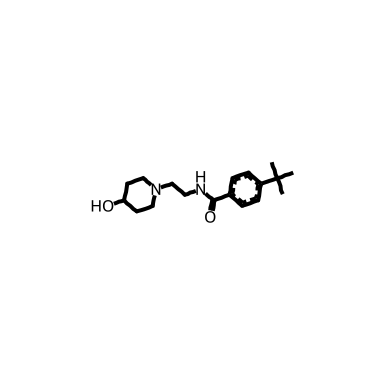 CC(C)(C)c1ccc(C(=O)NCCN2CCC(O)CC2)cc1